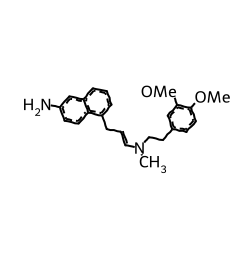 COc1ccc(CCN(C)C=CCc2cccc3cc(N)ccc23)cc1OC